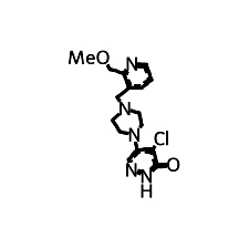 COCc1ncccc1CN1CCN(c2cn[nH]c(=O)c2Cl)CC1